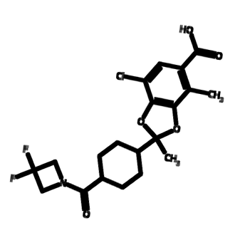 Cc1c(C(=O)O)cc(Cl)c2c1OC(C)(C1CCC(C(=O)N3CC(F)(F)C3)CC1)O2